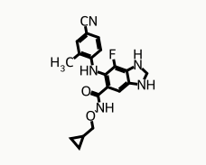 Cc1cc(C#N)ccc1Nc1c(C(=O)NOCC2CC2)cc2c(c1F)NCN2